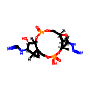 C[C@H]1[C@H]2OP(=O)(O)OCC34C[C@@H]3[C@@H](NC=N)[C@H](O)[C@@H]4O[PH](=O)OC[C@H]1O[C@H]2NN=N